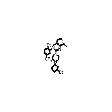 CCc1cccc(N2CCN(C3=Nc4c(F)cccc4CN3c3cc(C(F)(F)F)ccc3CC)CC2)c1